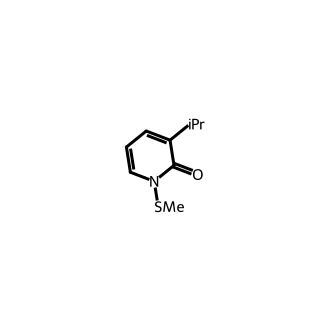 CSn1cccc(C(C)C)c1=O